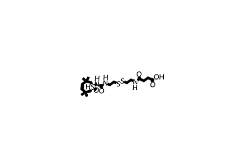 CC1(C)C=CC(C)(C)C[SH](=O)(NC(=O)NCCSSCCNC(=O)CCC(=O)O)C1